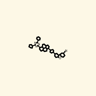 N#Cc1ccc2oc3ccc(-c4ccc(-c5ccc6ccc7c(-c8nc(-c9ccccc9)nc(-c9ccccc9)n8)ccc8ccc5c6c87)cc4)cc3c2c1